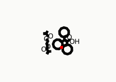 C=C(C)C(=O)OCCOC(=O)C(=C)C.O=C(O)C(=C(C1=C/CCCCCCCC\1)/C1=C/CCCCCCCC1)/C1=C/CCCCCCCC1